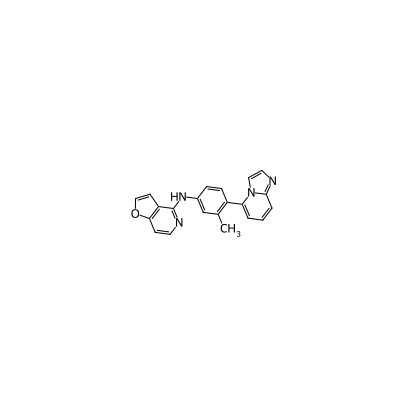 Cc1cc(Nc2nccc3occc23)ccc1-c1cccc2nccn12